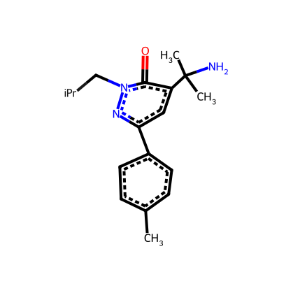 Cc1ccc(-c2cc(C(C)(C)N)c(=O)n(CC(C)C)n2)cc1